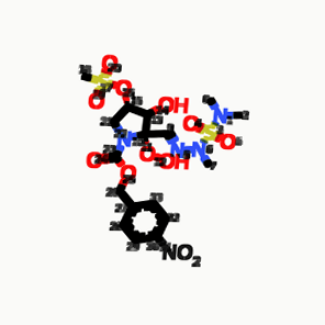 CN(C)S(=O)(=O)N(C)N=C[C@]1(OO)C(O)[C@H](OS(C)(=O)=O)CN1C(=O)OCc1ccc([N+](=O)[O-])cc1